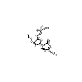 C=CCO[C@@H]1C[C@H](n2ccc(N)nc2=O)O[C@@H]1CO[Si](C)(C)C(C)(C)C